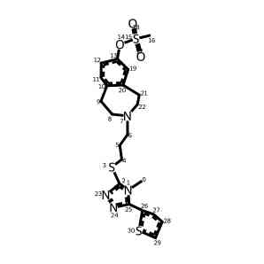 Cn1c(SCCCN2CCc3ccc(OS(C)(=O)=O)cc3CC2)nnc1-c1cccs1